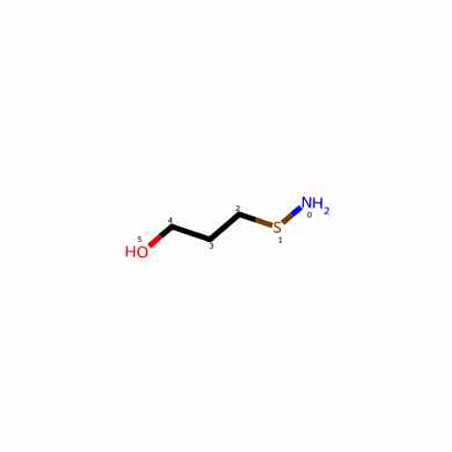 NSCCCO